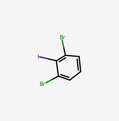 Brc1cccc(Br)c1I